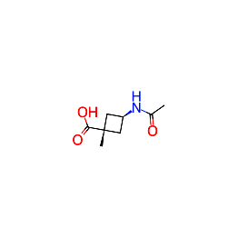 CC(=O)N[C@H]1C[C@](C)(C(=O)O)C1